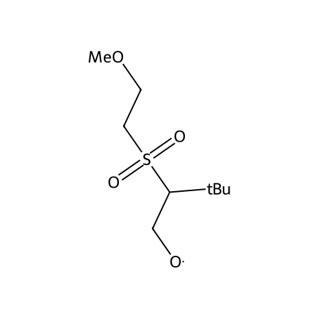 COCCS(=O)(=O)C(C[O])C(C)(C)C